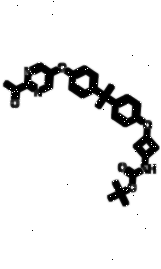 CC(=O)c1ncc(Oc2ccc(C(C)(C)c3ccc(OC4CC(NC(=O)OC(C)(C)C)C4)cc3)cc2)cn1